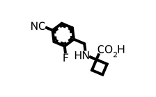 N#Cc1ccc(CNC2(C(=O)O)CCC2)c(F)c1